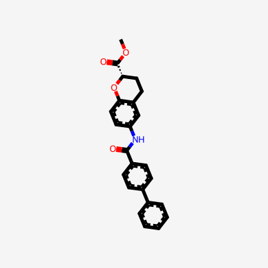 COC(=O)[C@@H]1CCc2cc(NC(=O)c3ccc(-c4ccccc4)cc3)ccc2O1